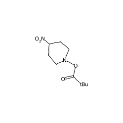 CC(C)(C)C(=O)ON1CCC([N+](=O)[O-])CC1